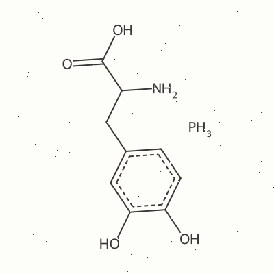 NC(Cc1ccc(O)c(O)c1)C(=O)O.P